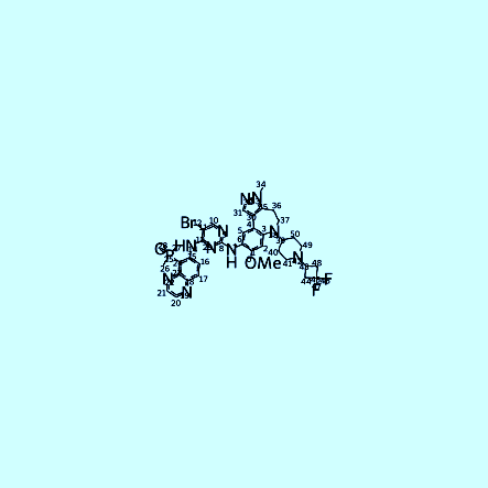 COc1cc2c(cc1Nc1ncc(Br)c(Nc3ccc4nccnc4c3P(C)(C)=O)n1)-c1cnn(C)c1CCN2C1CCN(C2CC(F)(F)C2)CC1